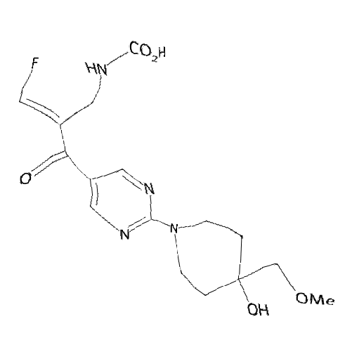 COCC1(O)CCN(c2ncc(C(=O)C(=CF)CNC(=O)O)cn2)CC1